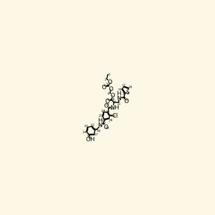 CCOC(=O)OCOC(=O)C(CNC(=O)c1cccs1)NC(=O)c1ccc(C(=O)NCc2cccc(O)c2)cc1Cl